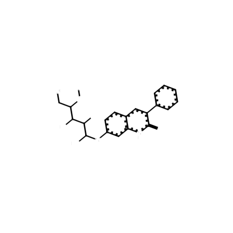 COC(CO)C(O)C(O)C(C)Nc1ccc2cc(-c3ccccc3)c(=O)[nH]c2c1